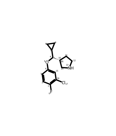 Fc1ccc(OC(C2CC2)[C@@H]2CCNC2)cc1Cl